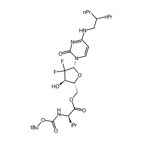 CCCC(CCC)CNc1ccn([C@@H]2O[C@H](COC(=O)[C@H](NC(=O)OC(C)(C)C)C(C)C)[C@@H](O)C2(F)F)c(=O)n1